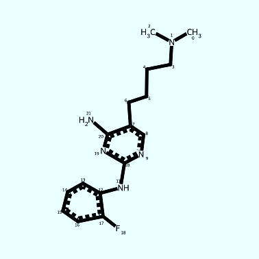 CN(C)CCCCc1cnc(Nc2ccccc2F)nc1N